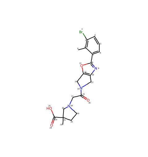 Cc1c(Br)cccc1-c1nc2c(o1)CN(C(=O)CN1CCC(C)(C(=O)O)C1)C2